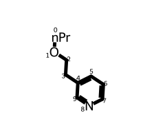 CCCOCCc1cccnc1